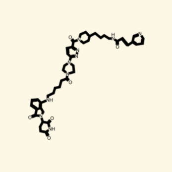 O=C(/C=C/c1cccnc1)NCCCCC1CCN(C(=O)c2ccc(N3CCN(C(=O)CCCCCNc4cccc5c4CN(C4CCC(=O)NC4=O)C5=O)CC3)nn2)CC1